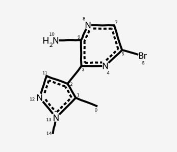 Cc1c(-c2nc(Br)cnc2N)cnn1C